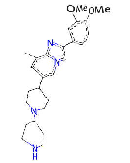 COc1ccc(-c2cn3cc(C4CCN(C5CCNCC5)CC4)cc(C)c3n2)cc1OC